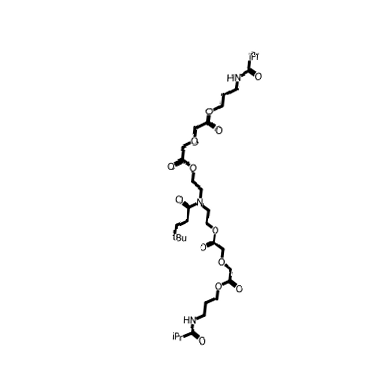 CC(C)C(=O)NCCCOC(=O)COCC(=O)OCCN(CCOC(=O)COCC(=O)OCCCNC(=O)C(C)C)C(=O)CCC(C)(C)C